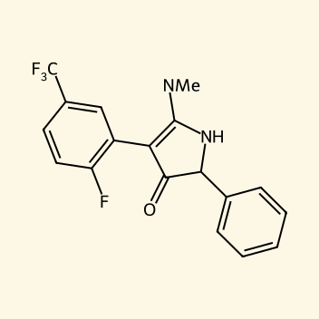 CNC1=C(c2cc(C(F)(F)F)ccc2F)C(=O)C(c2ccccc2)N1